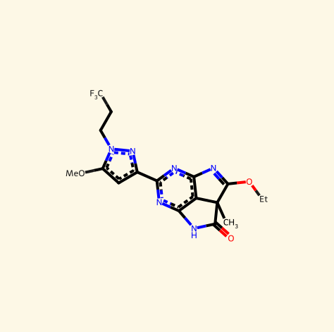 CCOC1=Nc2nc(-c3cc(OC)n(CCC(F)(F)F)n3)nc3c2C1(C)C(=O)N3